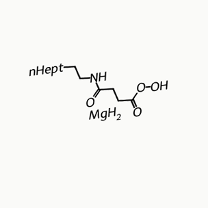 CCCCCCCCCNC(=O)CCC(=O)OO.[MgH2]